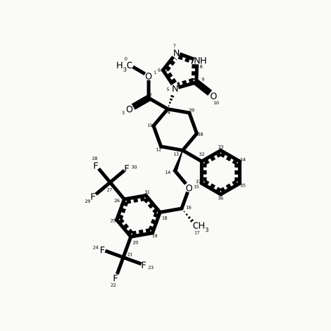 COC(=O)[C@]1(n2cn[nH]c2=O)CC[C@@](CO[C@H](C)c2cc(C(F)(F)F)cc(C(F)(F)F)c2)(c2ccccc2)CC1